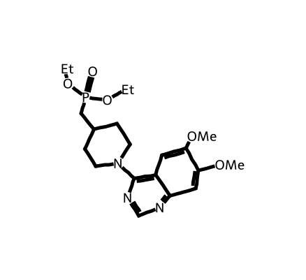 CCOP(=O)(CC1CCN(c2ncnc3cc(OC)c(OC)cc23)CC1)OCC